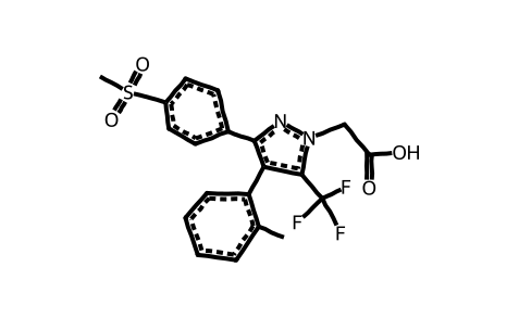 Cc1ccccc1-c1c(-c2ccc(S(C)(=O)=O)cc2)nn(CC(=O)O)c1C(F)(F)F